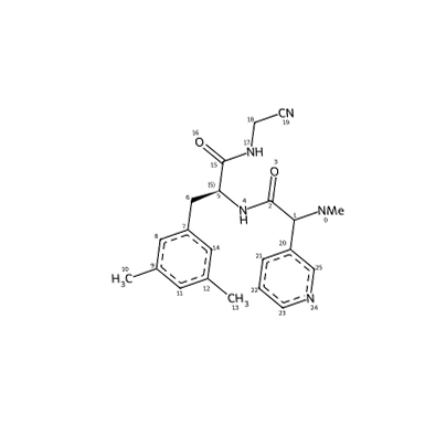 CNC(C(=O)N[C@@H](Cc1cc(C)cc(C)c1)C(=O)NCC#N)c1cccnc1